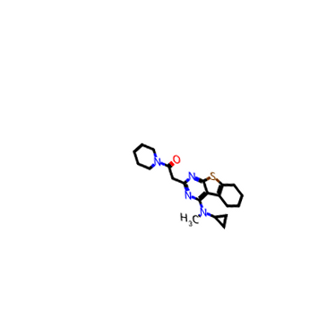 CN(c1nc(CC(=O)N2CCCCC2)nc2sc3c(c12)CCCC3)C1CC1